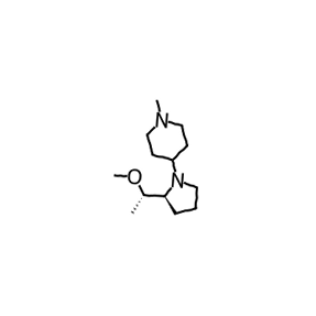 CO[C@@H](C)[C@@H]1CCCN1C1CCN(C)CC1